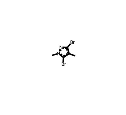 Cc1c(Br)nn(C)c1Br